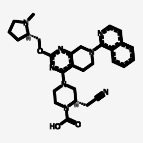 CN1CCC[C@H]1COc1nc2c(c(N3CCN(C(=O)O)[C@@H](CC#N)C3)n1)CCN(c1nccc3ccccc13)C2